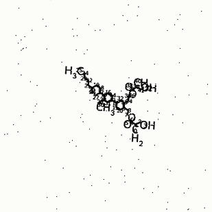 C=C(CO)C(=O)OCCc1ccc(-c2ccc(C3CCC(CCCCC)CC3)c(CC)c2)cc1CCOC(=O)C(=C)CO